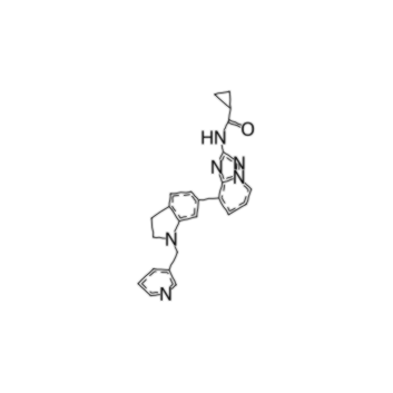 O=C(Nc1nc2c(-c3ccc4c(c3)N(Cc3cccnc3)CC4)cccn2n1)C1CC1